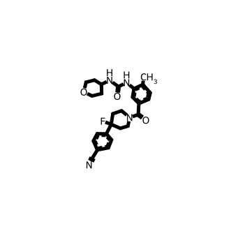 Cc1ccc(C(=O)N2CCC(F)(c3ccc(C#N)cc3)CC2)cc1NC(=O)NC1CCOCC1